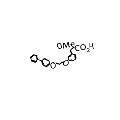 COC(Cc1cccc(OCCCOc2ccc(-c3ccccc3)cc2)c1)C(=O)O